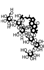 C[C@H](CC[C@@H](O[C@@H]1O[C@H](CO[C@@H]2O[C@H](CO)[C@@H](O)[C@H](O)[C@H]2O)[C@@H](O)[C@H](O)[C@H]1O[C@H]1O[C@@H](CO)[C@H](O)[C@@H](O)[C@@H]1O)C(C)(C)O)C1CC[C@@]2(C)C3C(=O)C=C4C(CC[C@H](O[C@@H]5O[C@H](CO)[C@@H](O)[C@H](O)[C@H]5O[C@H]5O[C@@H](CO[C@@H]6O[C@H](CO)[C@@H](O)[C@H](O)[C@H]6O)[C@H](O)[C@@H](O)[C@@H]5O)C4(C)C)[C@]3(C)[C@H](O)C[C@]12C